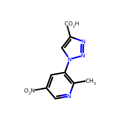 Cc1ncc([N+](=O)[O-])cc1-n1cc(C(=O)O)nn1